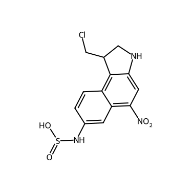 O=[N+]([O-])c1cc2c(c3ccc(NS(=O)O)cc13)C(CCl)CN2